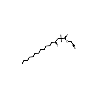 CCCCCCCCCCCCC(=S)SC(C)(C)C(=O)OCC#N